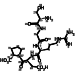 N=C(N)NCCC[C@H](NC(=O)CNC(=O)[C@@H](N)CO)C(=O)N[C@@H](CC(=O)O)C(=O)N1CCC[C@H]1C(=O)O